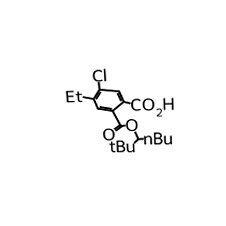 CCCCC(OC(=O)c1cc(CC)c(Cl)cc1C(=O)O)C(C)(C)C